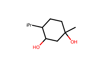 CC(C)C1CCC(C)(O)CC1O